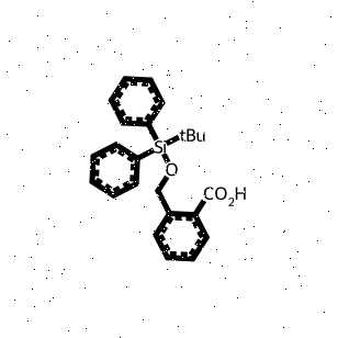 CC(C)(C)[Si](OCc1ccccc1C(=O)O)(c1ccccc1)c1ccccc1